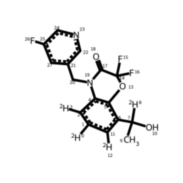 [2H]c1c([2H])c2c(c(C([2H])(C)O)c1[2H])OC(F)(F)C(=O)N2Cc1cncc(F)c1